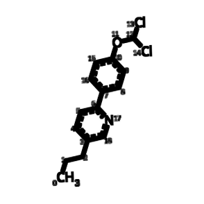 CCCc1ccc(-c2ccc(OC(Cl)Cl)cc2)nc1